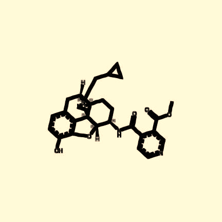 COC(=O)c1cnccc1C(=O)N[C@@H]1CC[C@@]2(O)[C@H]3Cc4ccc(O)c5c4[C@@]2(CCN3CC2CC2)[C@H]1O5